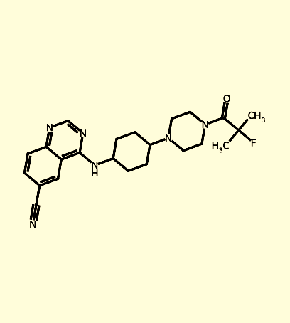 CC(C)(F)C(=O)N1CCN(C2CCC(Nc3ncnc4ccc(C#N)cc34)CC2)CC1